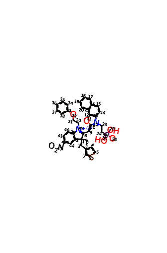 CC1(Cc2ccsc2)C(/C=C2\Oc3c(ccc4ccccc34)N2CCP(=O)(O)O)=[N+](CCOc2ccccc2)c2ccc([N+](=O)[O-])cc21